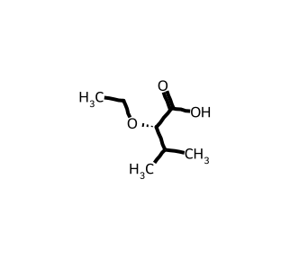 CCO[C@H](C(=O)O)C(C)C